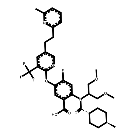 COCC(COC)N(c1cc(F)c(Oc2ncc(CCc3cccc(C)n3)cc2C(F)(F)F)cc1C(=O)O)C(=O)[C@H]1CC[C@H](C)CC1